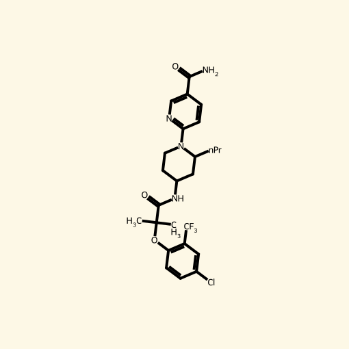 CCCC1CC(NC(=O)C(C)(C)Oc2ccc(Cl)cc2C(F)(F)F)CCN1c1ccc(C(N)=O)cn1